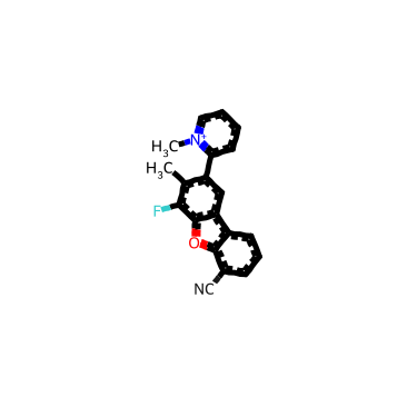 Cc1c(-c2cccc[n+]2C)cc2c(oc3c(C#N)cccc32)c1F